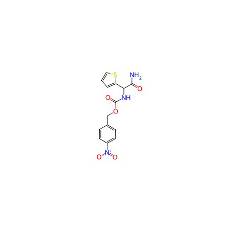 NC(=O)C(NC(=O)OCc1ccc([N+](=O)[O-])cc1)c1cccs1